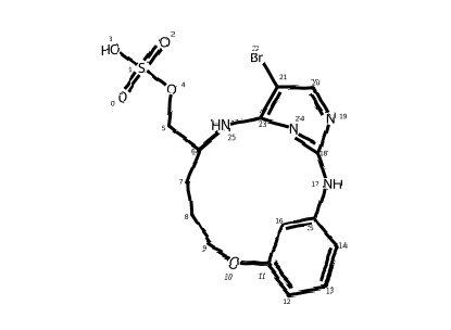 O=S(=O)(O)OCC1CCCOc2cccc(c2)Nc2ncc(Br)c(n2)N1